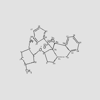 CC1CCC(C(C)C)C(OC2CCC3Cc4ccccc4CC32S(=O)(=O)c2ccccc2)C1